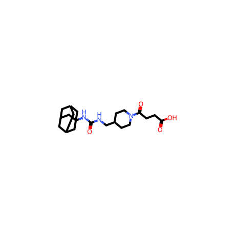 O=C(O)CCC(=O)N1CCC(CNC(=O)NC23CC4CC(CC(C4)C2)C3)CC1